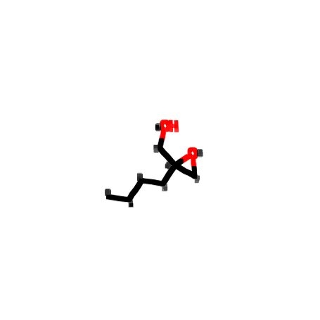 CCCCC1(CO)CO1